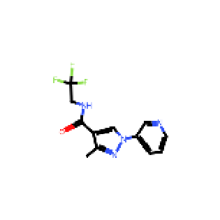 Cc1nn(-c2cccnc2)cc1C(=O)NCC(F)(F)F